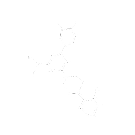 CCN(CC)c1nc(-c2ccc(C)c(C)c2)nc(N2CCN(c3ncccc3C(F)(F)F)CC2)n1